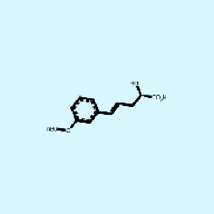 CCCCOc1cccc(/C=C/C[C@@H](O)C(=O)O)c1